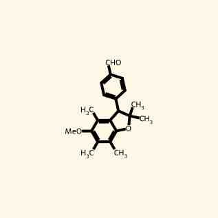 COc1c(C)c(C)c2c(c1C)C(c1ccc(C=O)cc1)C(C)(C)O2